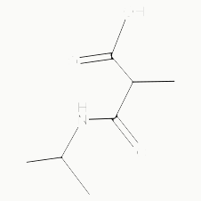 CC(C)NC(=O)C(C)C(=O)O